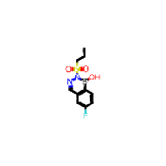 CCCS(=O)(=O)N1N=Cc2cc(F)ccc2B1O